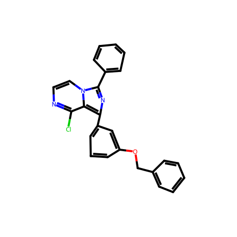 Clc1nccn2c(-c3ccccc3)nc(-c3cccc(OCc4ccccc4)c3)c12